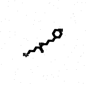 CCCCC(=O)NCCCN1CCNCC1